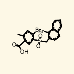 Cc1cc(Br)c(S(=O)(=O)Cc2ccc3ccccc3c2Br)cc1C(=O)O